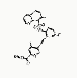 COC(=O)c1cc(C)c(C#Cc2cc(F)ccc2NS(=O)(=O)c2c(C)ccc3cccnc23)cn1